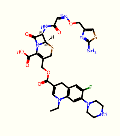 CCN1C=C(C(=O)OCC2=C(C(=O)O)N3C(=O)[C@@H](NC(=O)/C=N\OCc4csc(N)n4)[C@H]3SC2)Cc2cc(F)c(N3CCNCC3)cc21